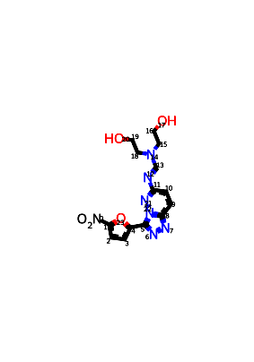 O=[N+]([O-])c1ccc(-c2nnc3ccc(N=CN(CCO)CCO)nn23)o1